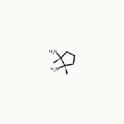 C[C@]1(N)CCC[C@@]1(C)N